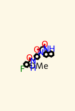 COc1cc(F)ccc1C(=O)Nc1ccc(N2C(=O)CC(=O)Nc3c2ccc2ccccc32)cc1